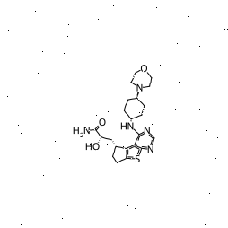 NC(=O)[C@@H](O)C[C@H]1CCc2sc3ncnc(N[C@H]4CC[C@H](N5CCOCC5)CC4)c3c21